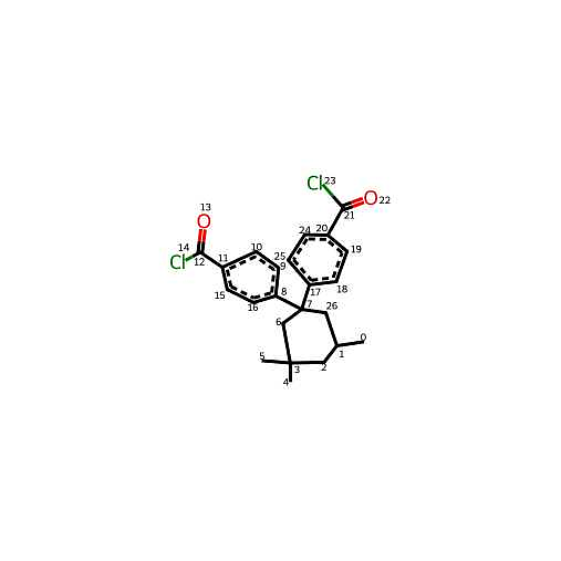 CC1CC(C)(C)CC(c2ccc(C(=O)Cl)cc2)(c2ccc(C(=O)Cl)cc2)C1